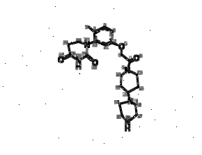 Cc1ccc(OCC(=O)N2CCC(N3CCNCC3)CC2)cc1N1CCC(=O)NC1=O